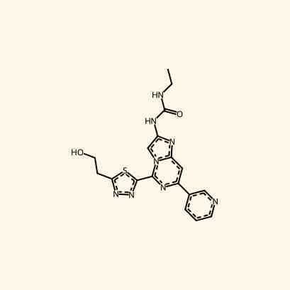 CCNC(=O)Nc1cn2c(-c3nnc(CCO)s3)nc(-c3cccnc3)cc2n1